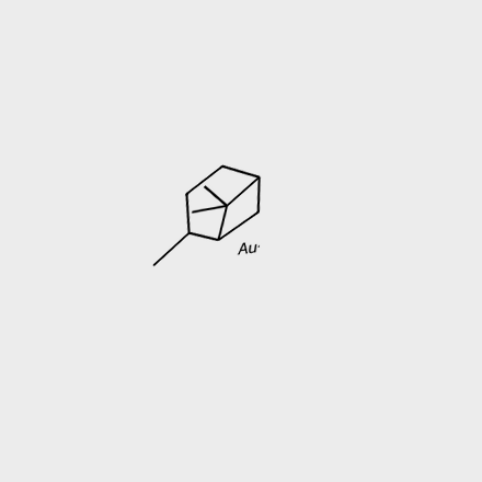 CC1CCC2CC1C2(C)C.[Au]